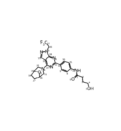 O=C(CCCO)Nc1ccc(-c2nc(N3CC4CCC(C3)O4)c3cnn(CC(F)(F)F)c3n2)cc1